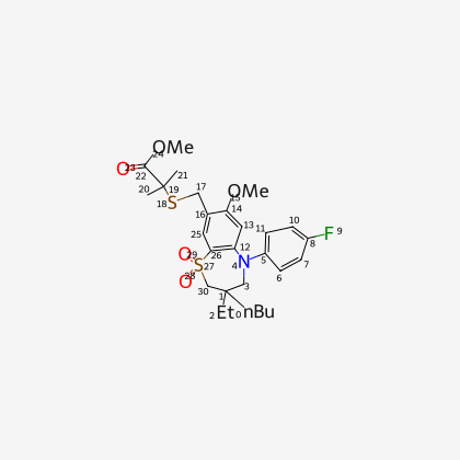 CCCCC1(CC)CN(c2ccc(F)cc2)c2cc(OC)c(CSC(C)(C)C(=O)OC)cc2S(=O)(=O)C1